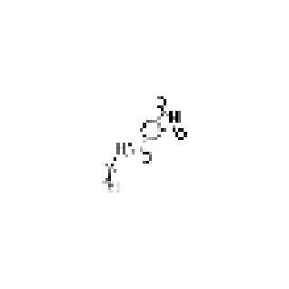 CCOC(C)(C)CCNC(=O)c1ccc2c(c1)C(=O)NC2=O